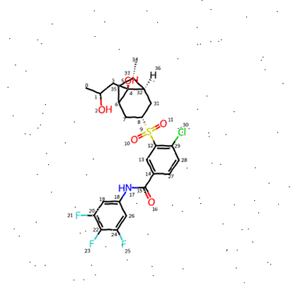 CC(O)C[C@@]1(O)C2C[C@@H](S(=O)(=O)c3cc(C(=O)Nc4cc(F)c(F)c(F)c4)ccc3Cl)C[C@@H]1[C@@H](C)C2